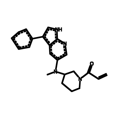 C=CC(=O)N1CCCC(N(C)c2cnc3[nH]cc(-c4ccccc4)c3c2)C1